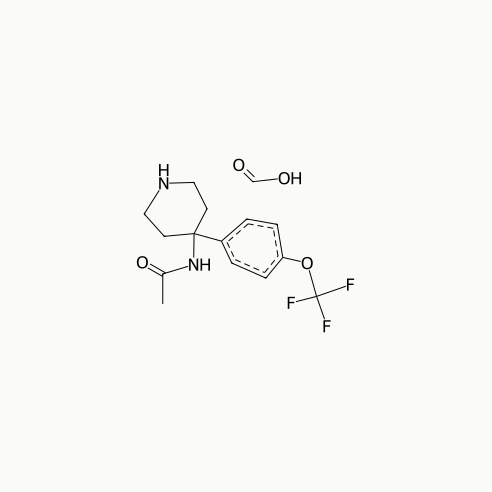 CC(=O)NC1(c2ccc(OC(F)(F)F)cc2)CCNCC1.O=CO